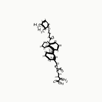 Cc1cccc(OCCCC(=O)N2CCCc3c(-c4cccc(CON(C=O)CCC[C@H](N)C(=O)O)c4)cccc32)c1C